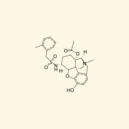 CC(=O)O[C@@]12CC[C@@H](NS(=O)(=O)Cc3ccccc3C)[C@@H]3Oc4c(O)ccc5c4[C@@]31CCN(C)[C@@H]2C5